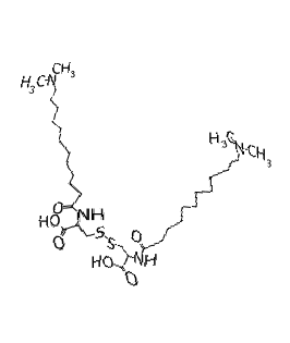 CN(C)CCCCCCCCCCCC(=O)NC(CSSCC(NC(=O)CCCCCCCCCCCN(C)C)C(=O)O)C(=O)O